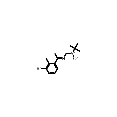 C/C(=N\C[S+]([O-])C(C)(C)C)c1cccc(Br)c1C